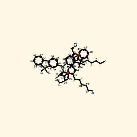 CCCCCCc1cc(C=O)sc1-c1cc(CCCCCC)c(-c2c3ccc(N(c4ccc5c(c4)C(C)(C)c4ccccc4-5)c4ccc5c(c4)C(C)(C)c4ccccc4-5)c2SC3)s1